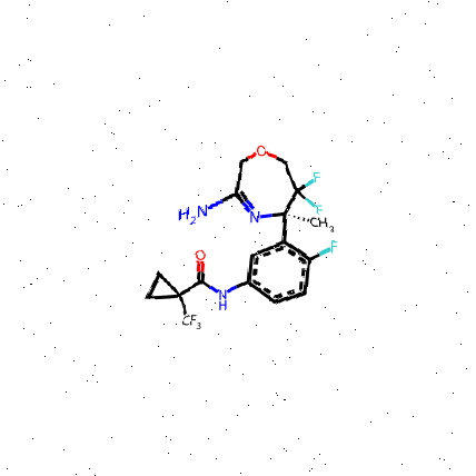 C[C@]1(c2cc(NC(=O)C3(C(F)(F)F)CC3)ccc2F)N=C(N)COCC1(F)F